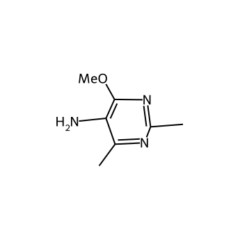 COc1nc(C)nc(C)c1N